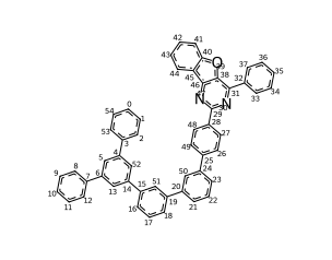 c1ccc(-c2cc(-c3ccccc3)cc(-c3cccc(-c4cccc(-c5ccc(-c6nc(-c7ccccc7)c7oc8ccccc8c7n6)cc5)c4)c3)c2)cc1